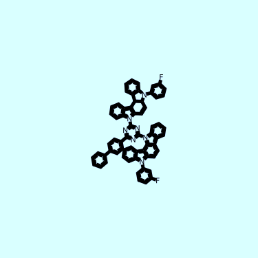 Fc1cccc(N2c3ccccc3C3c4c(n(-c5nc(-c6ccc(-c7ccccc7)cc6)nc(-n6c7ccccc7c7ccc8c(c9ccccc9n8-c8cccc(F)c8)c76)n5)c5ccccc45)C=CC32)c1